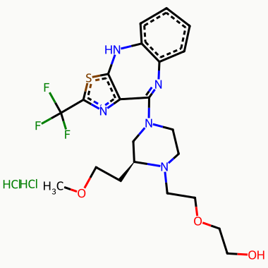 COCC[C@H]1CN(C2=Nc3ccccc3Nc3sc(C(F)(F)F)nc32)CCN1CCOCCO.Cl.Cl